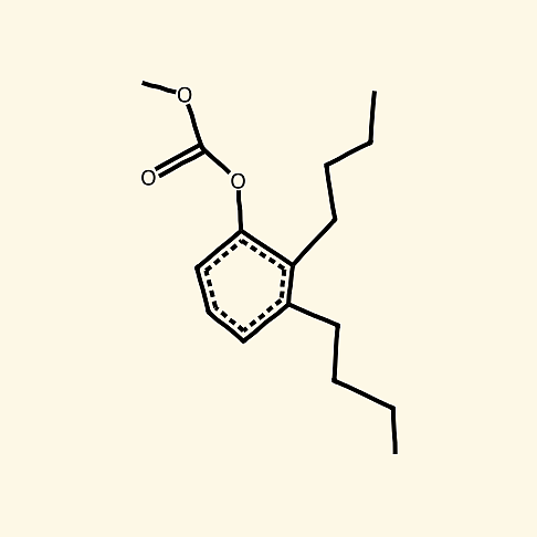 CCCCc1cccc(OC(=O)OC)c1CCCC